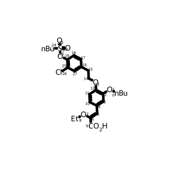 CCCCOc1cc(C=C(OCC)C(=O)O)ccc1OCCc1ccc(OS(=O)(=O)CCCC)c(Cl)c1